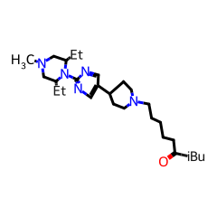 CCC(C)C(=O)CCCCCN1CCC(c2cnc(N3C(CC)CN(C)CC3CC)nc2)CC1